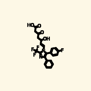 O=C(O)CC(=O)CC(O)/C=C/n1c(C(F)(F)F)nc(-c2ccccc2)c1-c1ccc(F)cc1